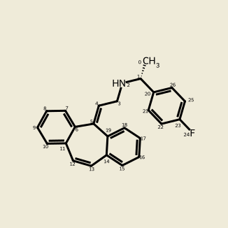 C[C@@H](NCC=C1c2ccccc2C=Cc2ccccc21)c1ccc(F)cc1